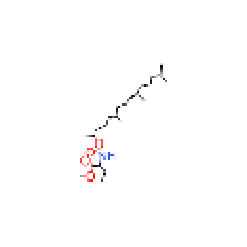 COC(=O)C(NC(=O)OC(C)CC/C=C(\C)CC/C=C(\C)CCC=C(C)C)C(C)C